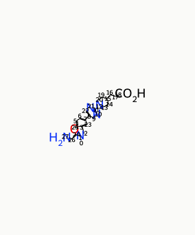 CN(Cc1cccc(-c2cnc(N3CCC(CCC(=O)O)CC3)nc2)c1)C(=O)CN